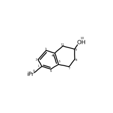 CC(C)c1ccc2c(c1)CCC(O)C2